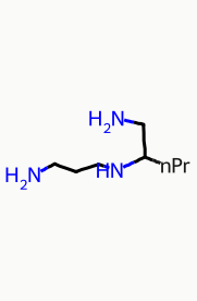 CCCC(CN)NCCCN